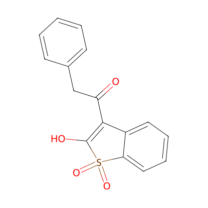 O=C(Cc1ccccc1)C1=C(O)S(=O)(=O)c2ccccc21